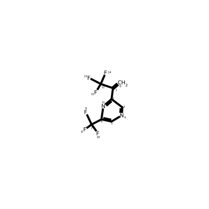 C=C(c1cncc(C(F)(F)F)n1)C(F)(F)F